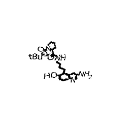 CC(C)(C)OC(=O)N1CCCCC1C(=O)NCCCCc1c(O)ccc2ncc(N)cc12